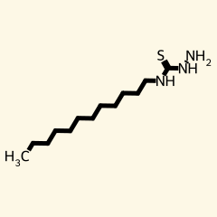 CCCCCCCCCCCCNC(=S)NN